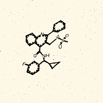 CN(Cc1c(-c2ccccc2)nc2ccccc2c1C(=O)N[C@H](c1cccc(F)c1)C1CC1)S(C)(=O)=O